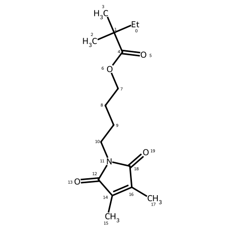 CCC(C)(C)C(=O)OCCCCN1C(=O)C(C)=C(C)C1=O